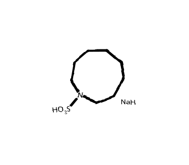 O=S(=O)(O)N1CCCCCCCC1.[NaH]